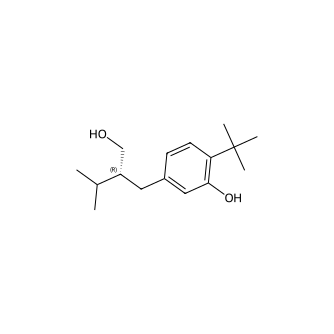 CC(C)[C@H](CO)Cc1ccc(C(C)(C)C)c(O)c1